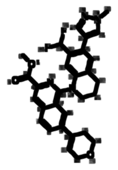 COC(=O)c1cc2ccc(C3=CCOCC3)cc2c(N2CCCc3cc(-c4cnn(C)c4)c(C(F)F)cc32)n1